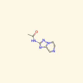 CC(=O)Nc1nc2cnccn2n1